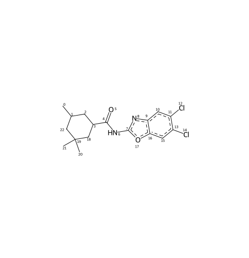 CC1CC(C(=O)Nc2nc3cc(Cl)c(Cl)cc3o2)CC(C)(C)C1